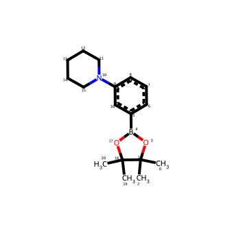 CC1(C)OB(c2cccc(N3CC[CH]CC3)c2)OC1(C)C